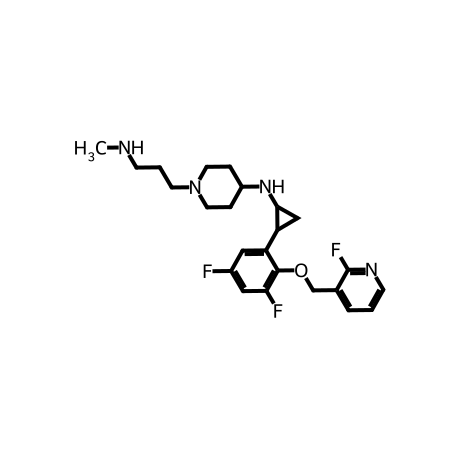 CNCCCN1CCC(NC2CC2c2cc(F)cc(F)c2OCc2cccnc2F)CC1